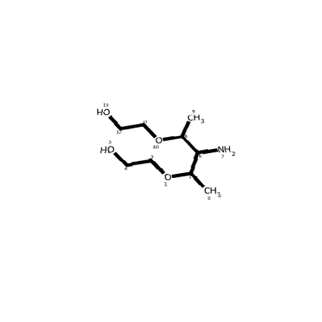 CC(OCCO)C(N)C(C)OCCO